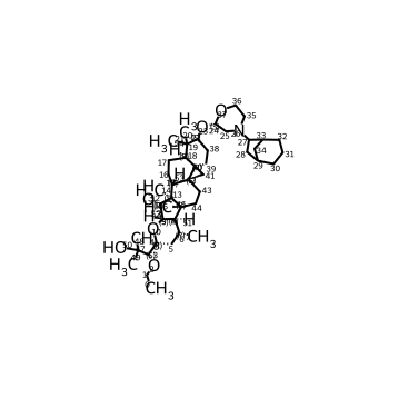 CCO[C@@H]([C@H]1C[C@@H](C)[C@H]2[C@H](O1)[C@H](O)[C@@]1(C)[C@@H]3CC[C@H]4C(C)(C)[C@@H](O[C@H]5CN(C6CC7CCCC6C7)CCO5)CC[C@@]45C[C@@]35CC[C@]21C)C(C)(C)O